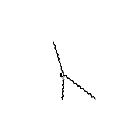 CCCCCCCCCCCCCCCCCCc1n(CCCCCCCCCCCCCCC)cc[n+]1CCCCCCCCCCC